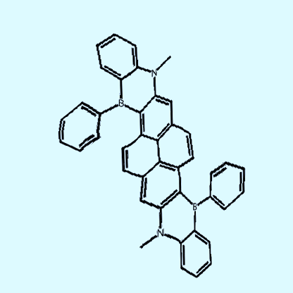 CN1c2ccccc2B(c2ccccc2)c2c1cc1ccc3c4c(cc5ccc2c1c53)N(C)c1ccccc1B4c1ccccc1